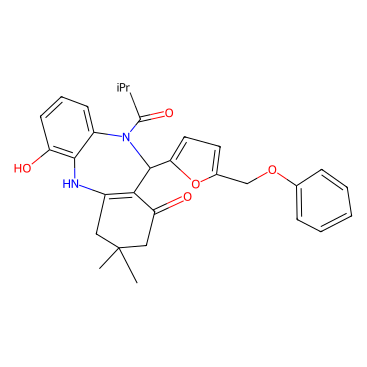 CC(C)C(=O)N1c2cccc(O)c2NC2=C(C(=O)CC(C)(C)C2)C1c1ccc(COc2ccccc2)o1